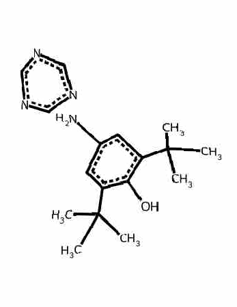 CC(C)(C)c1cc(N)cc(C(C)(C)C)c1O.c1ncncn1